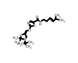 CC(C)/C=C/CCNC(=O)c1cnc(OC=C2CN(C(C)(C)C)C(C)(C)O2)s1